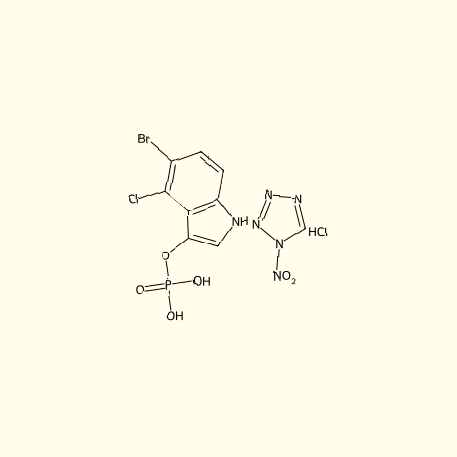 Cl.O=P(O)(O)Oc1c[nH]c2ccc(Br)c(Cl)c12.O=[N+]([O-])n1cnnn1